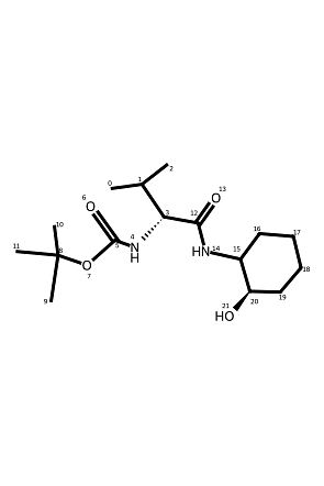 CC(C)[C@@H](NC(=O)OC(C)(C)C)C(=O)NC1CCCC[C@H]1O